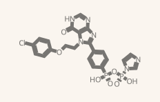 O=c1[nH]cnc2nc(-c3ccc(P(=O)(O)OP(=O)(O)n4ccnc4)cc3)n(CCOc3ccc(Cl)cc3)c12